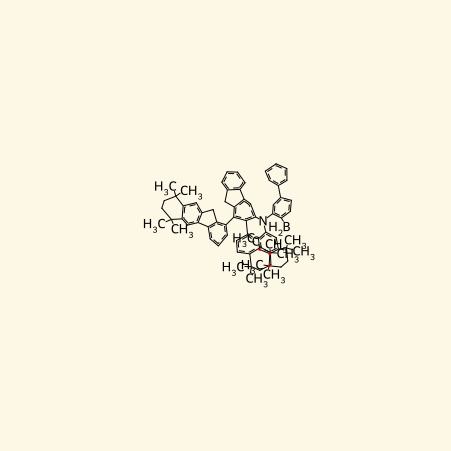 Bc1ccc(-c2ccccc2)cc1N(c1cc2c(cc1C)C(C)(C)CCC2(C)C)c1cc2c(c(-c3cccc4c3Cc3cc5c(cc3-4)C(C)(C)CCC5(C)C)c1-c1ccc3c(c1)C(C)(C)CCC3(C)C)Cc1ccccc1-2